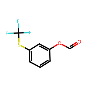 O=COc1cccc(SC(F)(F)F)c1